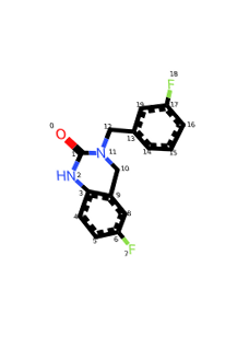 O=C1Nc2ccc(F)cc2CN1Cc1cccc(F)c1